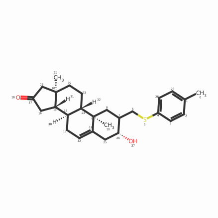 Cc1ccc(SCC2C[C@@]3(C)C(=CC[C@H]4[C@@H]5CC(=O)C[C@@]5(C)CC[C@@H]43)C[C@H]2O)cc1